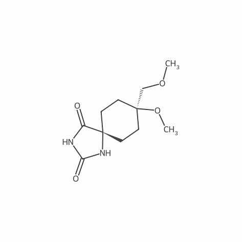 COC[C@]1(OC)CC[C@@]2(CC1)NC(=O)NC2=O